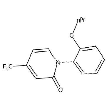 CCCOc1ccccc1-n1ccc(C(F)(F)F)cc1=O